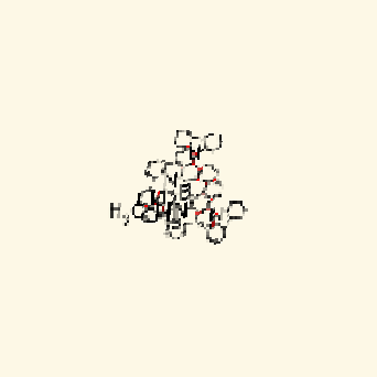 CC(C)(C)c1cc2c3c(n1)N(c1c(-c4ccccc4)cccc1-c1ccccc1)c1cc(-n4c5ccccc5c5ccccc54)cc(-c4ccccc4)c1B3c1c(-c3ccccc3)cc(-n3c4ccccc4c4ccccc43)cc1N2c1c(-c2ccccc2)cccc1-c1ccccc1